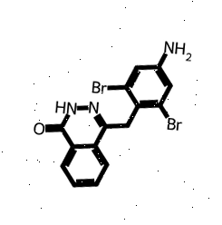 Nc1cc(Br)c(Cc2n[nH]c(=O)c3ccccc23)c(Br)c1